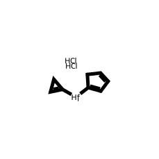 C1=CC[C]([Hf][C]2=CC2)=C1.Cl.Cl